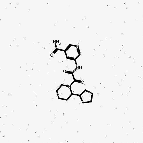 NC(=O)c1cncc(NC(=O)C(=O)N2CCCCC2C2CCCC2)c1